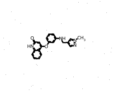 Cn1cc(CNc2cccc(Oc3cc(=O)[nH]c4ccccc34)c2)cn1